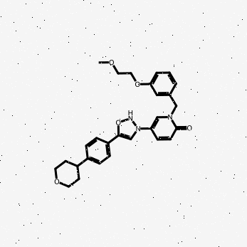 COCCOc1cccc(Cn2cc(N3C=C(c4ccc(C5CCOCC5)cc4)ON3)ccc2=O)c1